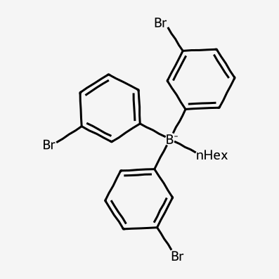 CCCCCC[B-](c1cccc(Br)c1)(c1cccc(Br)c1)c1cccc(Br)c1